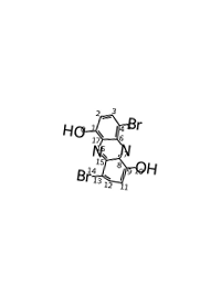 Oc1ccc(Br)c2nc3c(O)ccc(Br)c3nc12